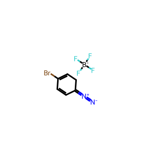 F[B-](F)(F)F.[N-]=[N+]=C1C=CC(Br)=CC1